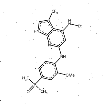 CCNc1cc(Nc2ccc(P(C)(C)=O)cc2OC)nc2[nH]cc(C(F)(F)F)c12